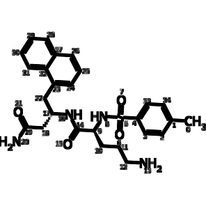 Cc1ccc(S(=O)(=O)N[C@@H](CCCN)C(=O)N[C@H](CC(N)=O)Cc2cccc3ccccc23)cc1